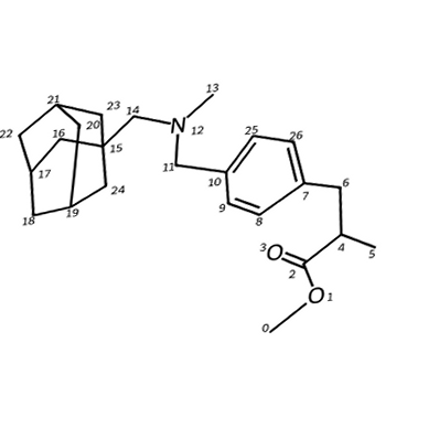 COC(=O)C(C)Cc1ccc(CN(C)CC23CC4CC(CC(C4)C2)C3)cc1